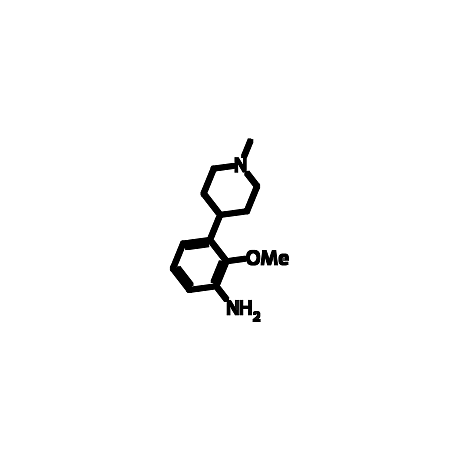 COc1c(N)cccc1C1CCN(C)CC1